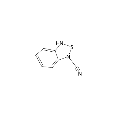 N#CN1SNc2ccccc21